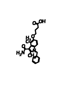 Cc1c(OCCCC(=O)O)ccc2c1c(C(N)=O)c(C)n2Cc1ccccc1